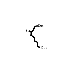 [CH2]CCCCCCCCCCCCCCC(CC)CCCCCCCCCCC[CH2]